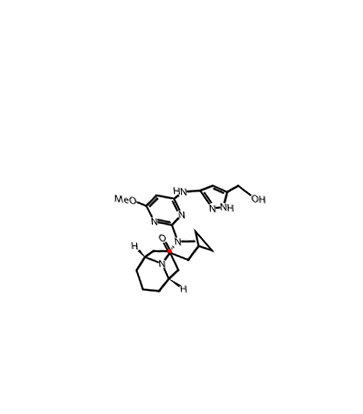 COc1cc(Nc2cc(CO)[nH]n2)nc(N(C)[C@H]2C[C@H]3CCC[C@@H](C2)N3C(=O)CC2CC2)n1